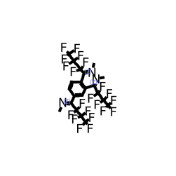 C/N=C(/c1ccc(/C(=N/C)C(F)(F)C(F)(F)C(F)(F)F)c(/C(=N/C)C(F)(F)C(F)(F)C(F)(F)F)c1)C(F)(F)C(F)(F)C(F)(F)F